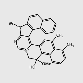 COC1(O)C[n+]2cnc3c(c2-c2cc(C)c4c(C)cccc4c21)c1c2ccccc2ccc1n3C(C)C